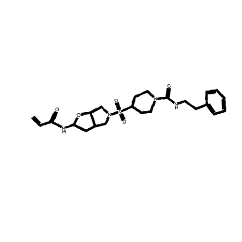 C=CC(=O)NC1CC2CN(S(=O)(=O)C3CCN(C(=O)NCCc4ccccc4)CC3)CC2O1